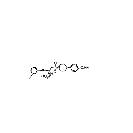 COc1ccc(C2CCN(S(=O)(=O)CC(C#Cc3cccc(F)c3)NC(=O)O)CC2)cc1